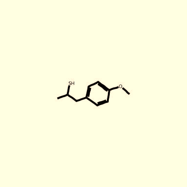 COc1ccc(CC(C)S)cc1